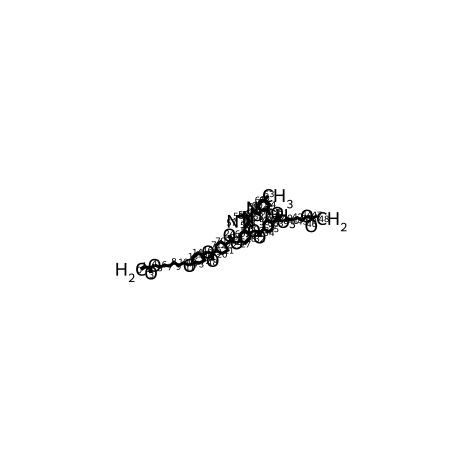 C=CC(=O)OCCCCCCOc1ccc(OC(=O)C2CCC(C(=O)Oc3ccc(OC(=O)C4CCC(C(=O)OCCCCOC(=O)C=C)CC4)c(/C=N/N(CC#N)c4nc5cc(C)cc(C)c5s4)c3)CC2)cc1